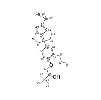 C=C(O)c1ccc(C(CC)(CC)c2ccc(OCC(O)C(C)(C)C)c(CCC)c2)s1